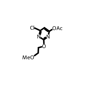 COCCOc1nc(Cl)cc(OC(C)=O)n1